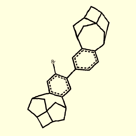 Brc1cc2c(cc1-c1ccc3c(c1)C1CC4CC5CC3CC54C1)C1CC3CC4CC2CC43C1